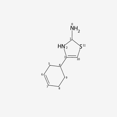 NC1NC(C2CC=CCC2)=CS1